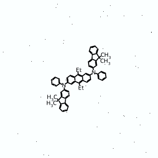 CCc1c2ccc(N(c3ccccc3)c3ccc4c(c3)C(C)(C)c3ccccc3-4)cc2c(CC)c2ccc(N(c3ccccc3)c3ccc4c(c3)C(C)(C)c3ccccc3-4)cc12